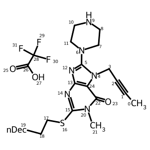 CC#CCn1c(N2CCNCC2)nc2nc(SCCCCCCCCCCCC)n(C)c(=O)c21.O=C(O)C(F)(F)F